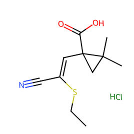 CCSC(C#N)=CC1(C(=O)O)CC1(C)C.Cl